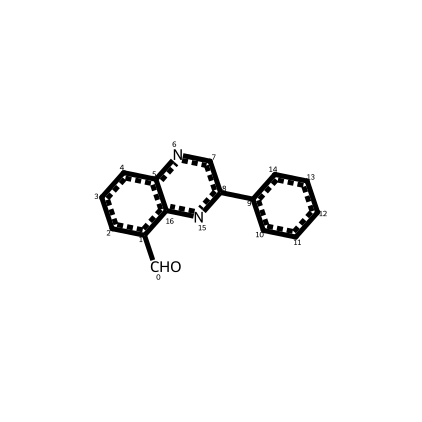 O=Cc1cccc2ncc(-c3ccccc3)nc12